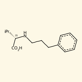 CC(C)[C@H](NCCCc1ccccc1)C(=O)O